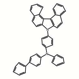 c1ccc(-c2ccc(N(c3ccccc3)c3ccc(-n4c5ccc6ccccc6c5c5c6ccccc6ccc54)cc3)cc2)cc1